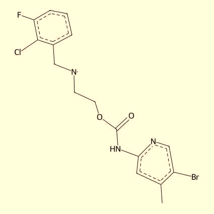 Cc1cc(NC(=O)OCC[N]Cc2cccc(F)c2Cl)ncc1Br